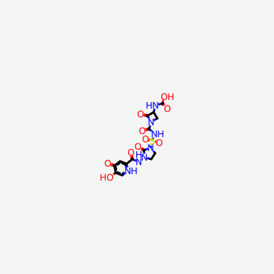 O=C(O)NC1CN(C(=O)NS(=O)(=O)N2CCN(NC(=O)c3cc(=O)c(O)c[nH]3)C2=O)C1=O